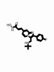 CC(C)(C)NCc1c(-c2ccc(F)cc2)nc2cc(/C=C/C(=O)NO)ccn12